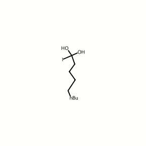 CCCCCCCCC(O)(O)I